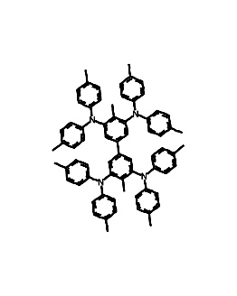 Cc1ccc(N(c2ccc(C)cc2)c2cc(-c3cc(N(c4ccc(C)cc4)c4ccc(C)cc4)c(C)c(N(c4ccc(C)cc4)c4ccc(C)cc4)c3)cc(N(c3ccc(C)cc3)c3ccc(C)cc3)c2C)cc1